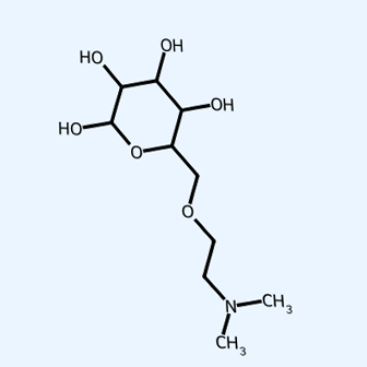 CN(C)CCOCC1OC(O)C(O)C(O)C1O